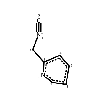 [C-]#[N+]Cc1ccccn1